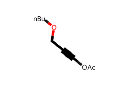 CCCCOCC#COC(C)=O